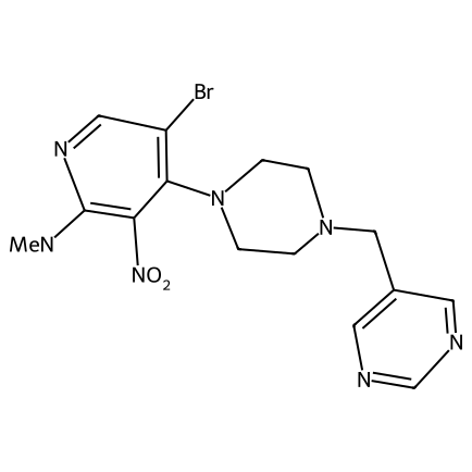 CNc1ncc(Br)c(N2CCN(Cc3cncnc3)CC2)c1[N+](=O)[O-]